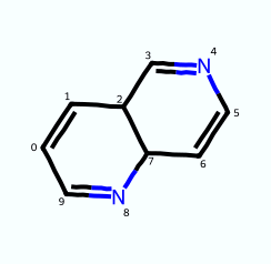 C1=CC2C=NC=CC2N=C1